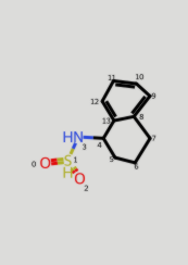 O=[SH](=O)NC1CCCc2ccccc21